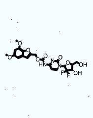 COc1cc(OC)c2oc(COC(=O)Nc3ccn(C4OC(CO)[C@@H](O)C4(F)F)c(=O)n3)cc2c1